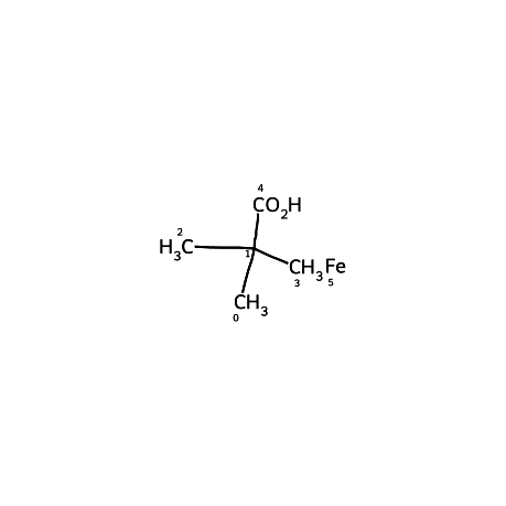 CC(C)(C)C(=O)O.[Fe]